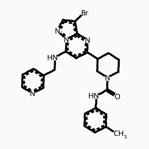 Cc1cccc(NC(=O)N2CCCC(c3cc(NCc4cccnc4)n4ncc(Br)c4n3)C2)c1